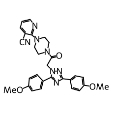 COc1ccc(-c2nc(-c3ccc(OC)cc3)n(CC(=O)N3CCN(c4ncccc4C#N)CC3)n2)cc1